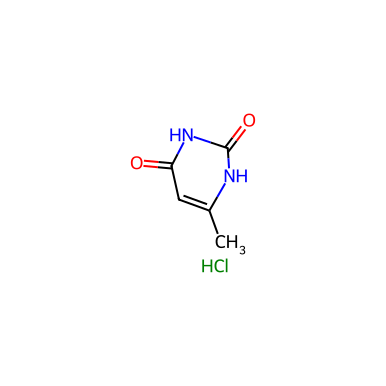 Cc1cc(=O)[nH]c(=O)[nH]1.Cl